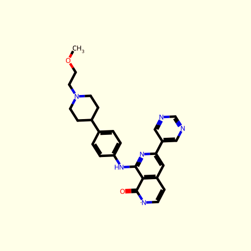 COCCN1CCC(c2ccc(Nc3nc(-c4cncnc4)cc4c3C(=O)[N]C=C4)cc2)CC1